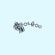 Cc1cn([C@@H]2O[C@@H](c3ccc(SCc4csc(-c5ccc(Cl)cc5)n4)cc3)[C@H](OS(=O)(=O)C(F)(F)F)[C@@H]2OS(=O)(=O)C(F)(F)F)cn1